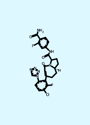 NC(=O)c1ccc(NC(=O)C2CC[C@H]3CCC(c4c(-n5cnnn5)ccc(Cl)c4F)=CC(=O)N23)cc1F